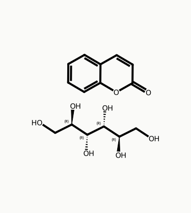 O=c1ccc2ccccc2o1.OC[C@@H](O)[C@@H](O)[C@H](O)[C@H](O)CO